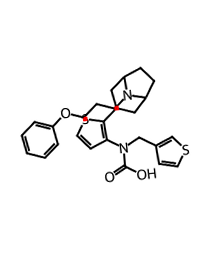 O=C(O)N(Cc1ccsc1)c1ccsc1C1CC2CCC(C1)N2CCCOc1ccccc1